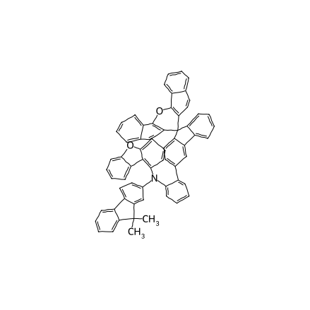 CC1(C)c2ccccc2-c2ccc(N(c3ccccc3-c3ccc4c(c3)-c3ccccc3C43c4ccc5ccccc5c4Oc4c3ccc3ccccc43)c3cccc4oc5ccccc5c34)cc21